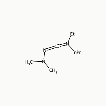 CCC[N+](=C=NN(C)C)CC